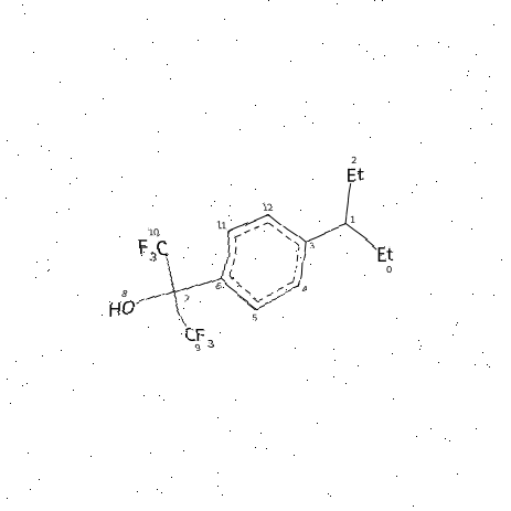 CCC(CC)c1ccc(C(O)(C(F)(F)F)C(F)(F)F)cc1